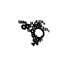 CC[C@@H]1C[C@@H](C)CCC=C[C@@H]2C[C@@]2(C(=O)NS(=O)(=O)C2CC2)NC(=O)[C@@H]2C[C@@H](Oc3ncc(OC)c4ccccc34)CN2C(=O)[C@H]1N(C(=O)O)C(C)(C)C(C)(F)F